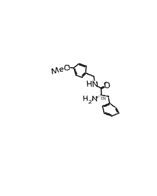 COc1ccc(CNC(=O)[C@@H](N)Cc2ccccc2)cc1